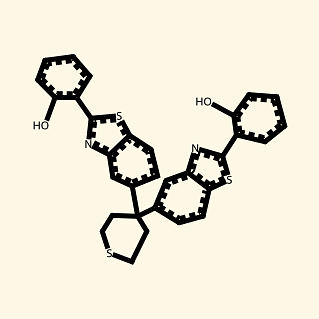 Oc1ccccc1-c1nc2cc(C3(c4ccc5sc(-c6ccccc6O)nc5c4)CCSCC3)ccc2s1